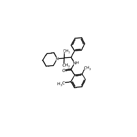 Cc1cccc(C)c1C(=O)NC(c1ccccc1)C(C)(C)N1CCCCC1